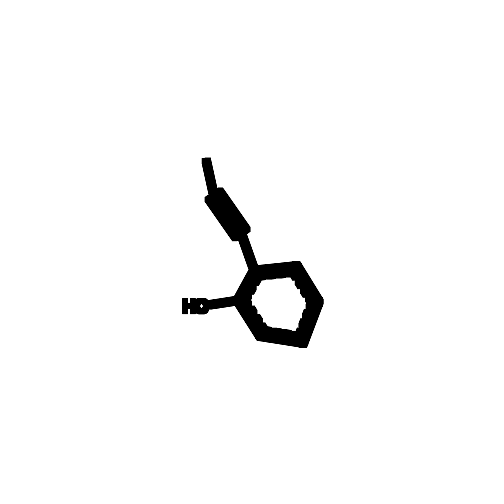 CC#Cc1ccccc1O